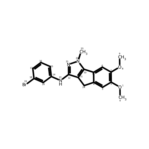 COc1cc2c(cc1OC)-c1c(c(Nc3cccc(Br)c3)nn1C)C2